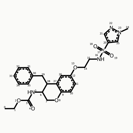 CCOC(=O)NC1COc2ccc(OCCNS(=O)(=O)c3cnn(C)c3)cc2C1Cc1ccccc1